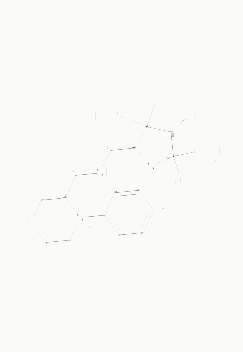 CCC1C(C)(C(=O)O)C(CNCC2COCCN2c2ccccc2)NC1(C(=O)O)C(C)(C)C